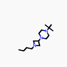 CCCCN1CC(N2CCN(C(C)(C)C)CC2)C1